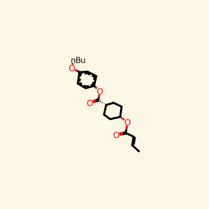 CC=CC(=O)O[C@H]1CC[C@H](C(=O)Oc2ccc(OCCCC)cc2)CC1